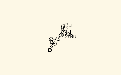 CC(C)(C)OC(=O)N=C(NC(=O)OC(C)(C)C)N1CCC(OCC[C@@H]2CCCCN2C(=O)OCc2ccccc2)CC1